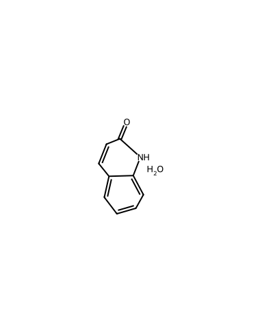 O.O=c1ccc2ccccc2[nH]1